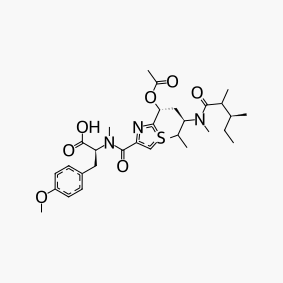 CC[C@H](C)C(C)C(=O)N(C)[C@H](C[C@@H](OC(C)=O)c1nc(C(=O)N(C)[C@@H](Cc2ccc(OC)cc2)C(=O)O)cs1)C(C)C